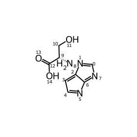 C1=NC2=CC=NC2=N1.N[C@@H](CO)C(=O)O